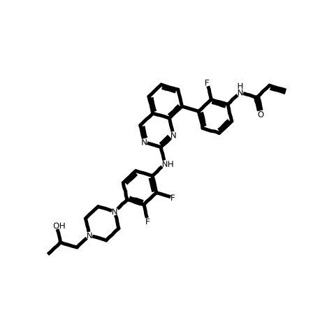 C=CC(=O)Nc1cccc(-c2cccc3cnc(Nc4ccc(N5CCN(CC(C)O)CC5)c(F)c4F)nc23)c1F